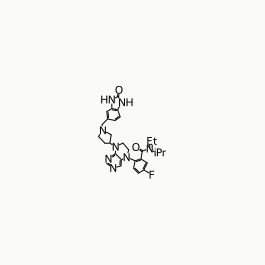 CCN(C(=O)c1cc(F)ccc1N1CCN(C2CCN(Cc3ccc4[nH]c(=O)[nH]c4c3)C2)c2ncncc21)C(C)C